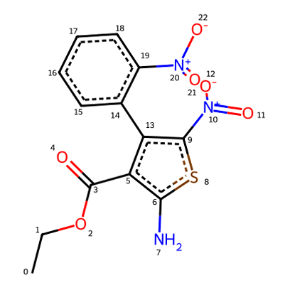 CCOC(=O)c1c(N)sc([N+](=O)[O-])c1-c1ccccc1[N+](=O)[O-]